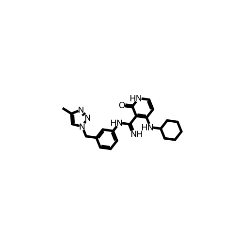 Cc1cn(Cc2cccc(NC(=N)c3c(NC4CCCCC4)cc[nH]c3=O)c2)nn1